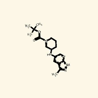 Cc1n[nH]c2ncc(NC3CCCN(C(=O)OC(C)(C)C)C3)cc12